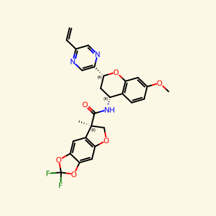 C=Cc1cnc([C@H]2C[C@@H](NC(=O)[C@@]3(C)COc4cc5c(cc43)OC(F)(F)O5)c3ccc(OC)cc3O2)cn1